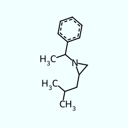 CC(C)CC1CN1C(C)c1ccccc1